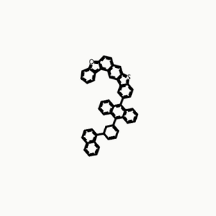 C1=CC(c2cccc3ccccc23)CC(c2c3ccccc3c(-c3ccc4sc5cc6ccc7oc8ccccc8c7c6cc5c4c3)c3ccccc23)=C1